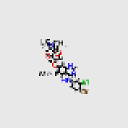 COc1cc2c(Nc3ccc(Br)c(Cl)c3)ncnc2cc1O[C@H]1CO[C@H]2[C@@H]1OC[C@@H]2N(C)C